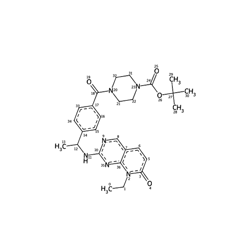 CCn1c(=O)ccc2cnc(NC(C)c3ccc(C(=O)N4CCN(C(=O)OC(C)(C)C)CC4)cc3)nc21